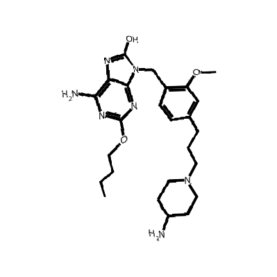 CCCCOc1nc(N)c2nc(O)n(Cc3ccc(CCCN4CCC(N)CC4)cc3OC)c2n1